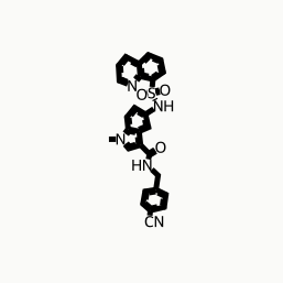 Cn1cc(C(=O)NCc2ccc(C#N)cc2)c2cc(NS(=O)(=O)c3cccc4cccnc34)ccc21